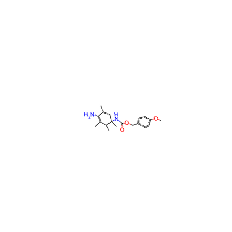 COc1ccc(COC(=O)NC2(C)C=C(C)C(N)=C(C)C2C)cc1